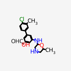 Cc1cc(-c2cccc(NC3CNCC(C)O3)c2)ccc1Cl.O=CO